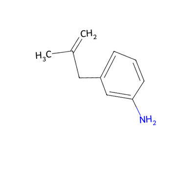 C=C(C)Cc1cccc(N)c1